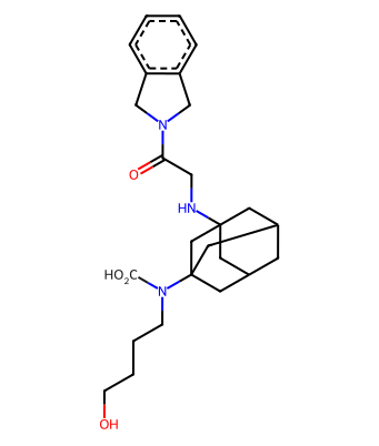 O=C(CNC12CC3CC(C1)CC(N(CCCCO)C(=O)O)(C3)C2)N1Cc2ccccc2C1